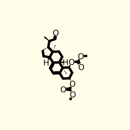 COC(=O)O[C@@H]1CC2=CC=C3[C@@H]4CC[C@H]([C@@H](C)C=O)[C@@]4(C)CC[C@@H]3[C@@]2(C)[C@@H](OC(=O)OC)C1